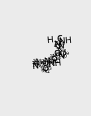 CNc1nccc(-c2cccnc2Oc2ccc(Nc3ncc(-c4cccnc4)c4ccccc34)cc2)n1